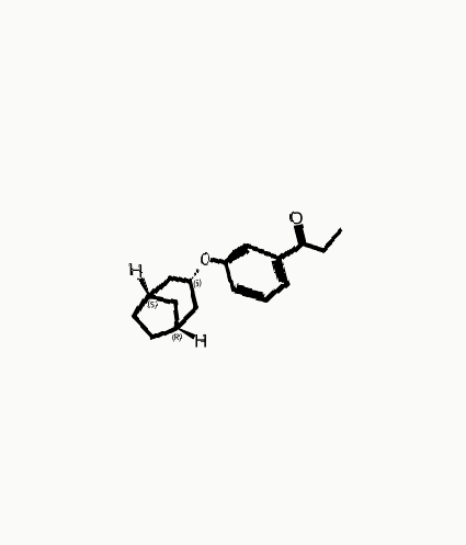 CCC(=O)c1cccc(O[C@@H]2C[C@@H]3CC[C@@H](C3)C2)c1